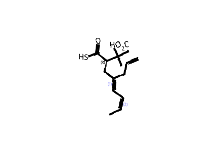 C=CC/C(=C\C=C/C)C[C@@H](C(=O)S)C(C)(C)C(=O)O